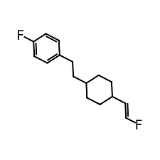 F/C=C/C1CCC(CCc2ccc(F)cc2)CC1